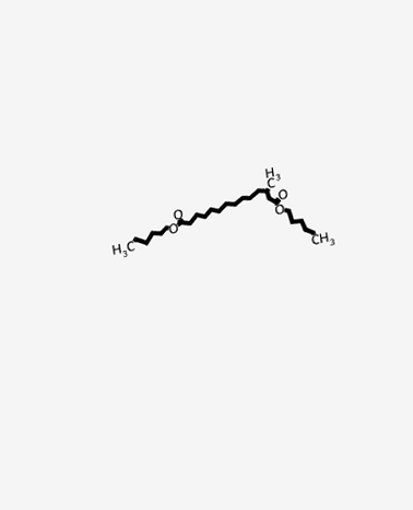 CCCCCCOC(=O)CCCCCCCCCCC(C)CC(=O)OCCCCCC